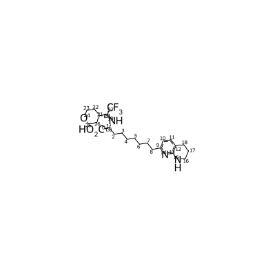 O=C(O)[C@H](CCCCCCCc1ccc2c(n1)NCCC2)N[C@@H](C1CCOCC1)C(F)(F)F